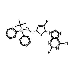 CC(C)(C)[Si](OC[C@@H]1C=C(F)[C@H](n2cnc3c(Cl)nc(F)nc32)S1)(c1ccccc1)c1ccccc1